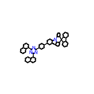 c1ccc2c(c1)-c1ccccc1C21c2ccccc2-n2c3ccc(-c4ccc(-c5nc(-c6cccc7ccccc67)nc(-c6cccc7ccccc67)n5)cc4)cc3c3cccc1c32